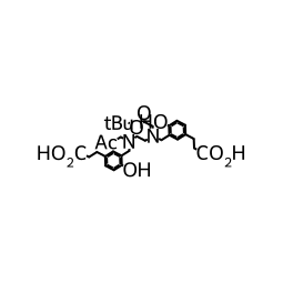 CC(=O)CN(CCN(CC(=O)OC(C)(C)C)Cc1cc(CCC(=O)O)ccc1O)Cc1cc(CCC(=O)O)ccc1O